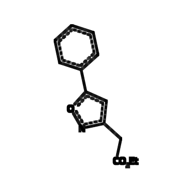 CCOC(=O)Cc1cc(-c2ccccc2)on1